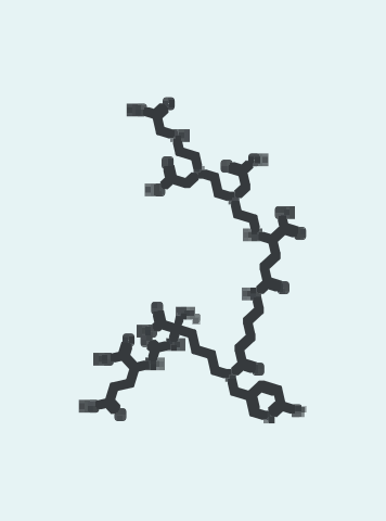 N[C@@](CCCCN(Cc1ccc(Br)nc1)C(=O)CCCCNC(=O)CCC(NCCN(CCN(CCNCC(=O)O)CC(=O)O)CC(=O)O)C(=O)O)(NC(=O)NC(CCC(=O)O)C(=O)O)C(=O)O